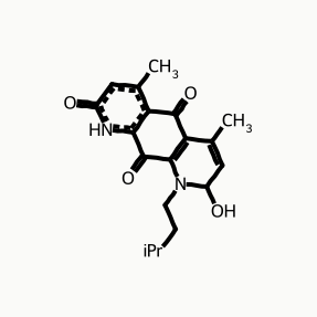 CC1=CC(O)N(CCC(C)C)C2=C1C(=O)c1c(C)cc(=O)[nH]c1C2=O